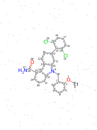 CCOc1ccccc1Cn1c2cc(-c3c(Cl)cccc3Cl)c[c]c2c2c(C(N)=O)cccc21